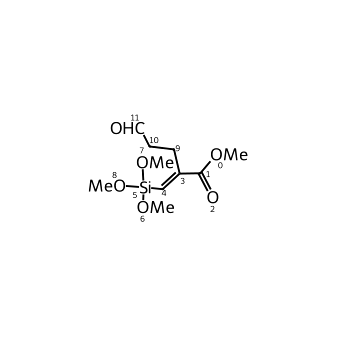 COC(=O)C(=C[Si](OC)(OC)OC)CCC=O